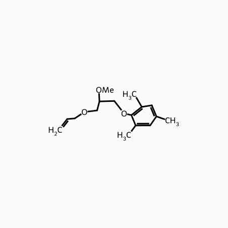 C=CCOCC(COc1c(C)cc(C)cc1C)OC